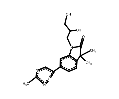 Cc1ncc(-c2ccc3c(c2)N(CC(O)CO)C(=O)C3(C)C)cn1